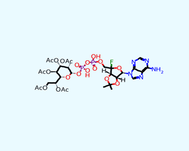 CC(=O)OC[C@@H](OC(C)=O)[C@H]1O[C@@H](OP(=O)(O)OP(=O)(O)OCC2(F)O[C@@H](n3cnc4c(N)ncnc43)[C@@H]3OC(C)(C)O[C@@H]32)[C@@H](OC(C)=O)[C@@H](OC(C)=O)[C@@H]1OC(C)=O